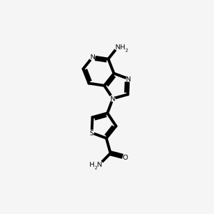 NC(=O)c1cc(-n2cnc3c(N)nccc32)cs1